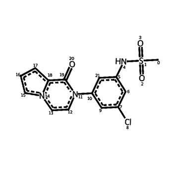 CS(=O)(=O)Nc1cc(Cl)cc(-n2ccn3cccc3c2=O)c1